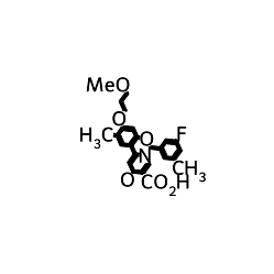 COCCCOc1cc2c(cc1C)-c1cc(=O)c(C(=O)O)cn1C(c1cc(C)cc(F)c1)O2